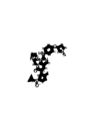 Cc1ccc([S+]([O-])C2CC2)cc1-c1cc2cnc(Nc3ccc(OC4CCN(C)C4)cc3)nc2n(Cc2nccs2)c1=O